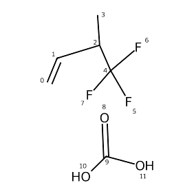 C=CC(C)C(F)(F)F.O=C(O)O